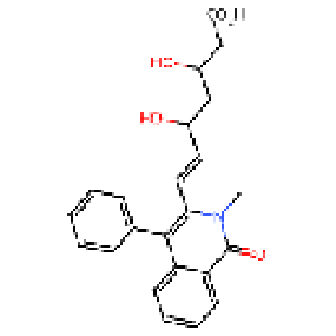 Cn1c(/C=C/C(O)CC(O)CC(=O)O)c(-c2ccccc2)c2ccccc2c1=O